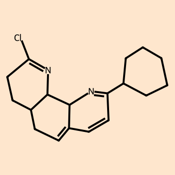 ClC1=NC2C(CC=C3C=CC(C4CCCCC4)=NC32)CC1